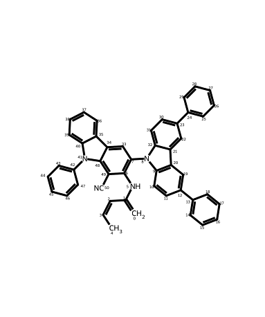 C=C(/C=C\C)Nc1c(-n2c3ccc(-c4ccccc4)cc3c3cc(-c4ccccc4)ccc32)cc2c3ccccc3n(-c3ccccc3)c2c1C#N